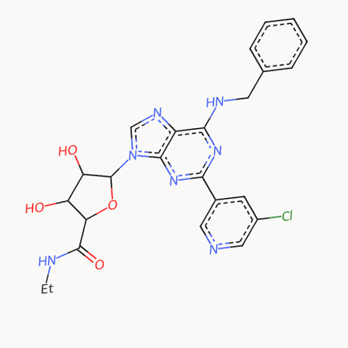 CCNC(=O)C1OC(n2cnc3c(NCc4ccccc4)nc(-c4cncc(Cl)c4)nc32)C(O)C1O